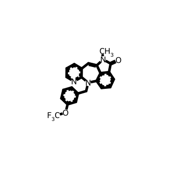 CN1C(=O)c2cccc3c2C1=Cc1cccnc1N3Cc1cccc(OC(F)(F)F)c1